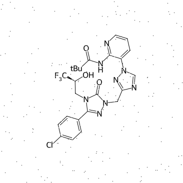 CC(C)(C)C(=O)Nc1ncccc1-n1cnc(Cn2nc(-c3ccc(Cl)cc3)n(C[C@H](O)C(F)(F)F)c2=O)n1